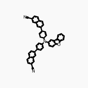 N#Cc1ccc2ccc(C3=CCC(N(c4ccc(-c5ccc6ccc(C#N)cc6c5)cc4)c4ccc5oc6ccccc6c5c4)C=C3)cc2c1